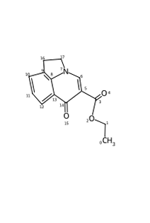 CCOC(=O)c1cn2c3c(cccc3c1=O)CC2